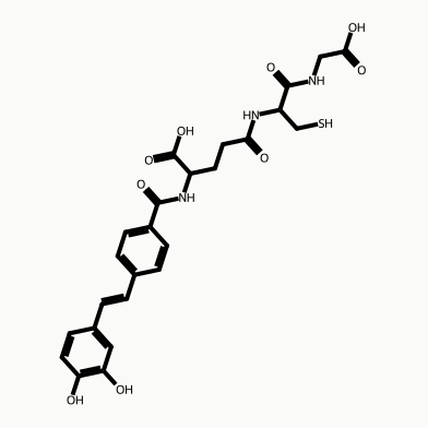 O=C(O)CNC(=O)C(CS)NC(=O)CCC(NC(=O)c1ccc(C=Cc2ccc(O)c(O)c2)cc1)C(=O)O